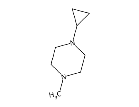 CN1CCN(C2CC2)CC1